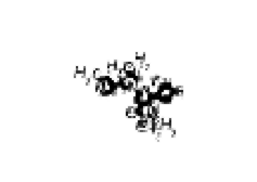 Cc1cc([C@@H]2CN(c3cc4c(=O)n(C)c(C)nc4c(-c4ccc(F)cc4F)n3)CC(C)(C)O2)ccn1